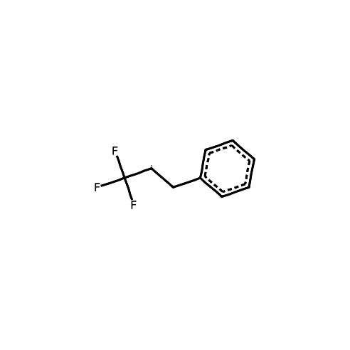 FC(F)(F)[CH]Cc1ccccc1